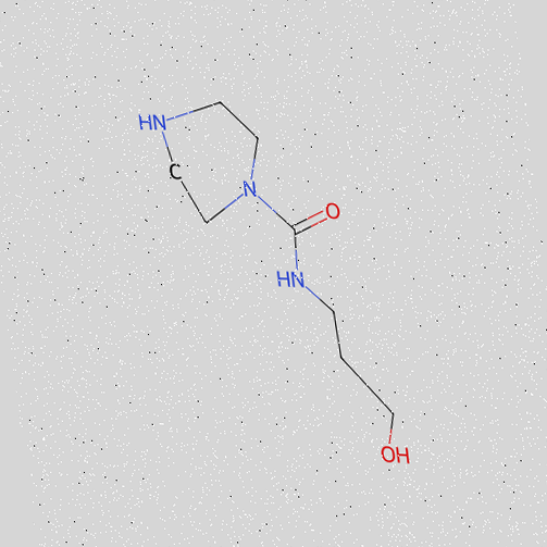 O=C(NCCCO)N1CCNCC1